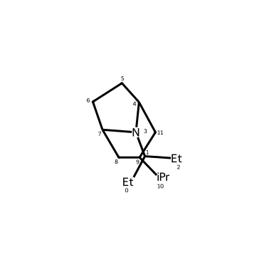 CCC(CC)N1C2CCC1CC(C(C)C)C2